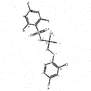 Cc1cc(C)c(S(=O)(=O)NC(I)(CSc2ccc(F)cc2Cl)C(F)(F)F)c(C)c1